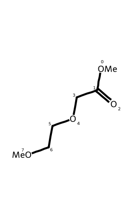 [CH2]OC(=O)COCCOC